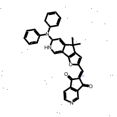 CC1(C)C2=CC(N(c3ccccc3)C3C=CC=CC3)NC=C2c2oc(/C=C3\C(=O)c4ccncc4C3=O)cc21